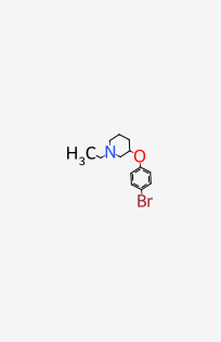 CCN1CCCC(Oc2ccc(Br)cc2)C1